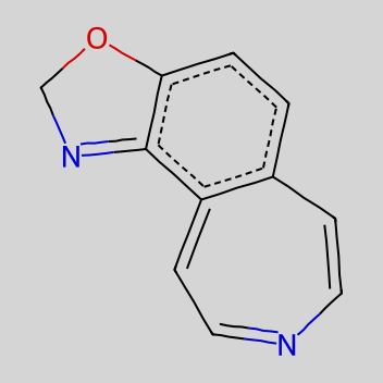 C1=Cc2ccc3c(c2=CC=N1)=NCO3